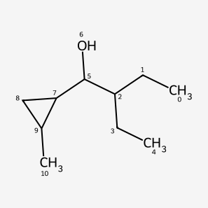 CCC(CC)C(O)C1CC1C